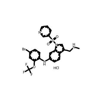 CNCc1cn(S(=O)(=O)c2cccnc2)c2cc(Nc3ccc(Br)cc3OC(F)(F)F)ccc12.Cl